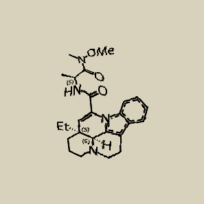 CC[C@@]12C=C(C(=O)N[C@@H](C)C(=O)N(C)OC)n3c4c(c5ccccc53)CCN(CCC1)[C@H]42